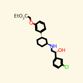 CCOC(=O)COc1cccc([C@H]2CCC[C@H](NC[C@H](O)c3cccc(Cl)c3)C2)c1